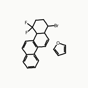 FC1(F)CCC(Br)C2C=Cc3c(ccc4ccccc34)C21.c1ccoc1